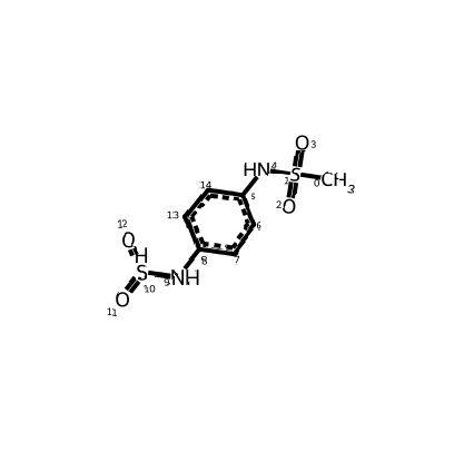 CS(=O)(=O)Nc1ccc(N[SH](=O)=O)cc1